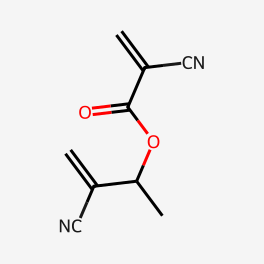 C=C(C#N)C(=O)OC(C)C(=C)C#N